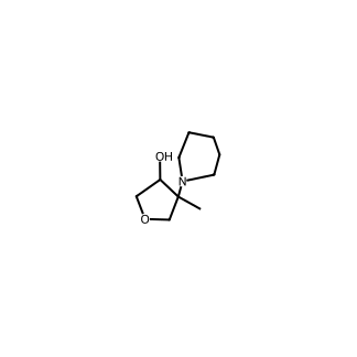 CC1(N2CCCCC2)COCC1O